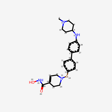 CN1CCC(Nc2ccc(-c3ccc(SN4CC=C(C(=O)NO)CC4)cc3)cc2)CC1